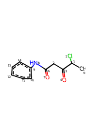 CC(Cl)C(=O)CC(=O)Nc1ccccc1